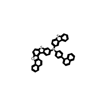 c1ccc2c(-c3ccc(N(c4ccc5c(c4)sc4ccc6oc7c8ccccc8ccc7c6c45)c4ccc5sc6ccccc6c5c4)cc3)cccc2c1